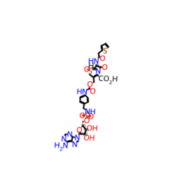 Nc1ncnc2c1ncn2[C@@H]1O[C@H](COS(=O)(=O)NCc2ccc(NC(=O)OCC3=C(C(=O)O)N4C(=O)[C@@H](NC(=O)Cc5cccs5)[C@H]4[S+]([O-])C3)cc2)[C@@H](O)[C@H]1O